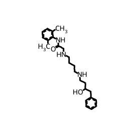 Cc1cccc(C)c1NC(=O)CNCCCCNCCC(O)Cc1ccccc1